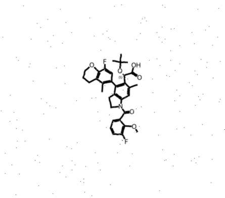 COc1c(F)cccc1C(=O)N1CCc2c1cc(C)c([C@H](OC(C)(C)C)C(=O)O)c2-c1cc(F)c2c(c1C)CCCO2